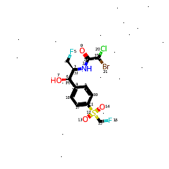 O=C(N[C@H](CF)[C@H](O)c1ccc(S(=O)(=O)CF)cc1)C(Cl)Br